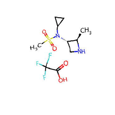 C[C@H]1NC[C@@H]1N(C1CC1)S(C)(=O)=O.O=C(O)C(F)(F)F